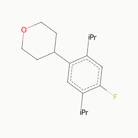 CC(C)c1cc(C2CCOCC2)c(C(C)C)cc1F